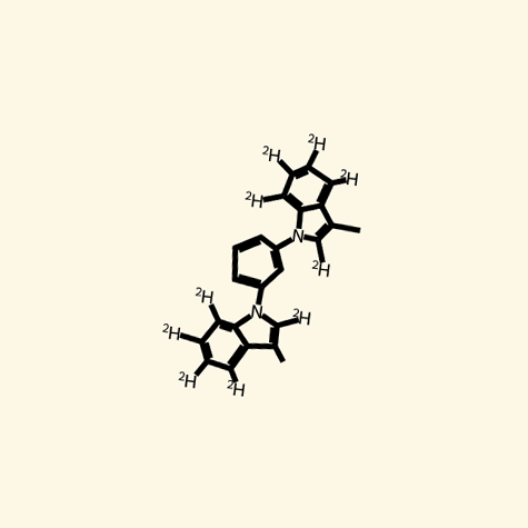 [2H]c1c([2H])c([2H])c2c(c1[2H])c(C)c([2H])n2-c1cccc(-n2c([2H])c(C)c3c([2H])c([2H])c([2H])c([2H])c32)c1